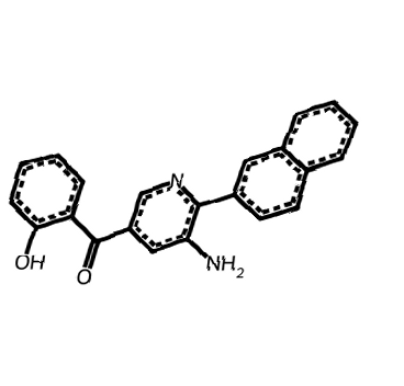 Nc1cc(C(=O)c2ccccc2O)cnc1-c1ccc2ccccc2c1